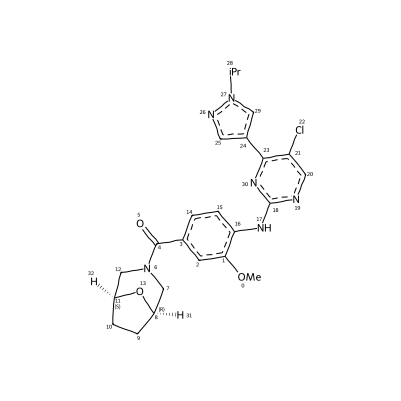 COc1cc(C(=O)N2C[C@H]3CC[C@@H](C2)O3)ccc1Nc1ncc(Cl)c(-c2cnn(C(C)C)c2)n1